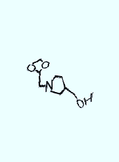 OCC1CCN(CC2OCCO2)CC1